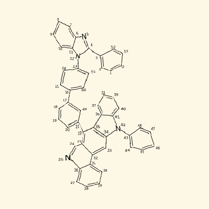 c1ccc(-c2nc3ccccc3n2-c2ccc(-c3cccc(-c4c5cnc6ccccc6c5cc5c4c4ccccc4n5-c4ccccc4)c3)cc2)cc1